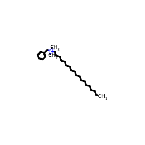 CCCCCCCCCCCCCCCCCCC[N+](C)(C)Cc1ccccc1